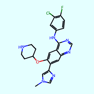 Cn1cnc(-c2cc3ncnc(Nc4ccc(F)c(Cl)c4)c3cc2OC2CCNCC2)c1